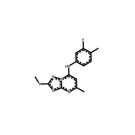 CSc1nc2nc(C)cc(Nc3ccc(C)c(F)c3)n2n1